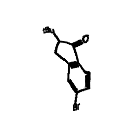 CC(C)(C)C1Cc2cc(Br)ccc2C1=O